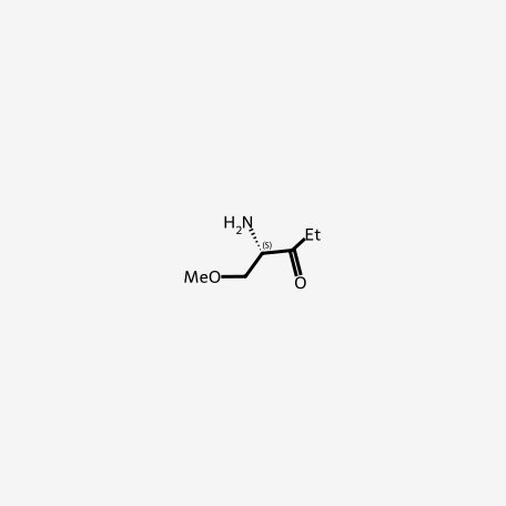 CCC(=O)[C@@H](N)COC